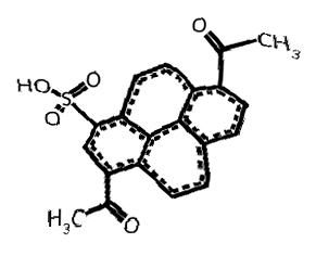 CC(=O)c1ccc2ccc3c(C(C)=O)cc(S(=O)(=O)O)c4ccc1c2c34